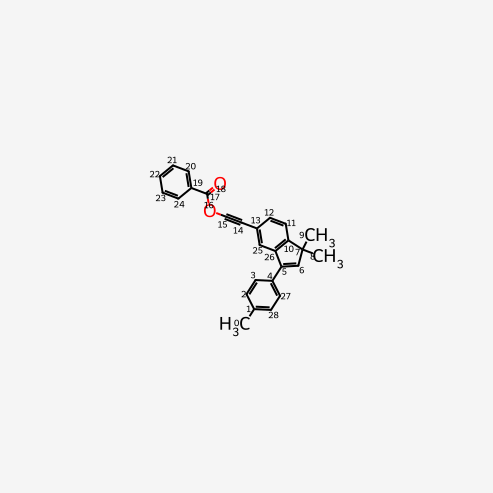 Cc1ccc(C2=CC(C)(C)c3ccc(C#COC(=O)c4ccccc4)cc32)cc1